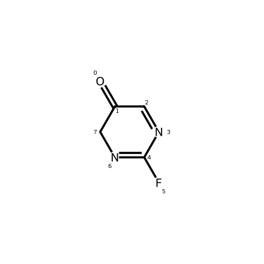 O=C1C=NC(F)=NC1